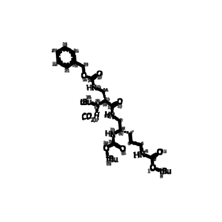 CC(C)(C)OC(=O)NCCC[C@@H](CNC(=O)[C@H](CNC(=O)OCc1ccccc1)N(C(=O)O)C(C)(C)C)NC(=O)OC(C)(C)C